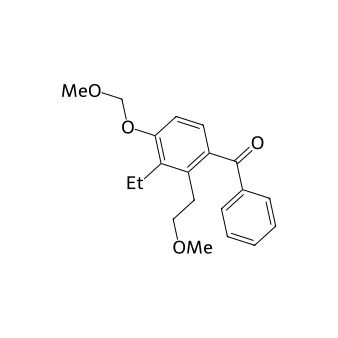 CCc1c(OCOC)ccc(C(=O)c2ccccc2)c1CCOC